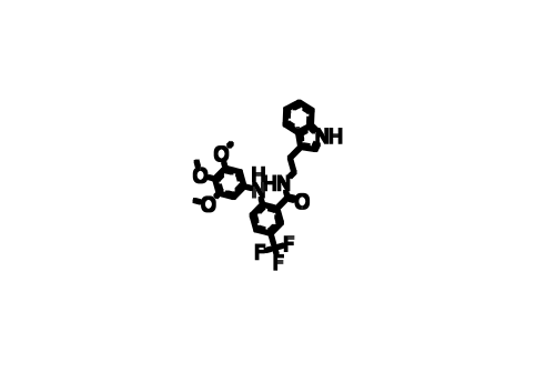 COc1cc(Nc2ccc(C(F)(F)F)cc2C(=O)NCCc2c[nH]c3ccccc23)cc(OC)c1OC